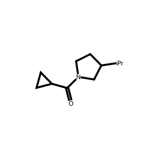 CC(C)C1CCN(C(=O)C2CC2)C1